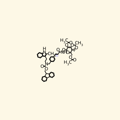 CC(=O)OC[C@H]1O[C@@H](ONC(=O)/C=C/c2ccc(CN(CCc3c(C)[nH]c4ccccc34)C(=O)OCC3c4ccccc4-c4ccccc43)cc2)[C@H](OC(C)=O)[C@@H](OC(C)=O)[C@H]1F